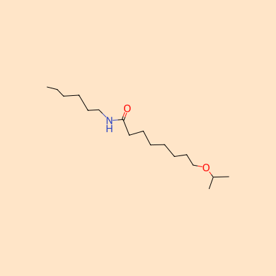 CCCCCCNC(=O)CCCCCCCOC(C)C